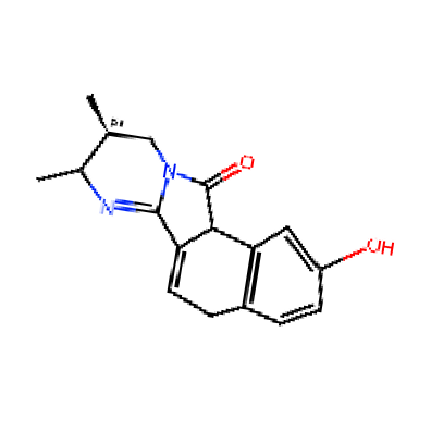 CC1N=C2C3=CCc4ccc(O)cc4C3C(=O)N2C[C@@H]1C